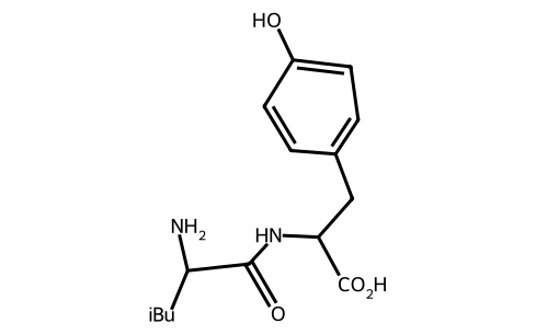 CCC(C)C(N)C(=O)NC(Cc1ccc(O)cc1)C(=O)O